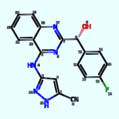 N#Cc1cc(Nc2nc([C@H](O)c3ccc(F)cc3)nc3ccccc23)n[nH]1